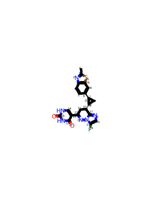 Cc1nc2ccc([C@H]3C[C@@H]3C3CC(c4c[nH]c(=O)[nH]c4=O)=Nn4c(F)cnc43)cc2s1